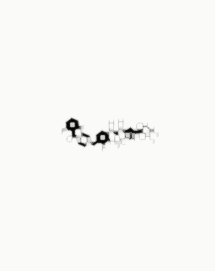 Cn1nc(C(C)(C)C)cc1NC(=O)Nc1ccc(CN2CCN(C(=O)c3c(F)cccc3F)CC2)c(F)c1